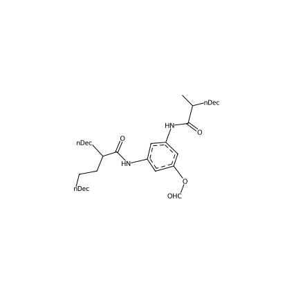 CCCCCCCCCCCCC(CCCCCCCCCC)C(=O)Nc1cc(NC(=O)C(C)CCCCCCCCCC)cc(OC=O)c1